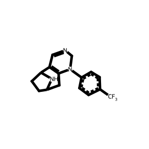 FC(F)(F)c1ccc(N2CN=CC3=C2CC2CCC3N2)cc1